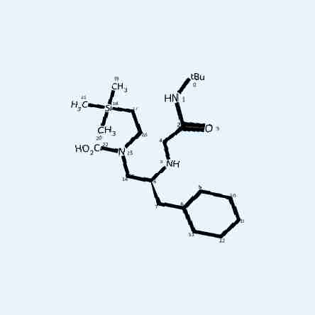 CC(C)(C)NC(=O)CN[C@@H](CC1CCCCC1)CN(CC[Si](C)(C)C)C(=O)O